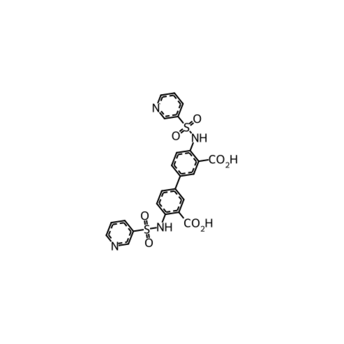 O=C(O)c1cc(-c2ccc(NS(=O)(=O)c3cccnc3)c(C(=O)O)c2)ccc1NS(=O)(=O)c1cccnc1